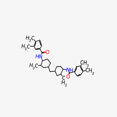 Cc1ccc(C(=O)NC2CCC(CC3CCC(NC(=O)c4ccc(C)c(C)c4)C(C)C3)CC2C)cc1C